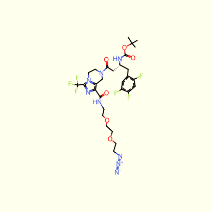 CC(C)(C)OC(=O)N[C@@H](CC(=O)N1CCn2c(C(F)(F)F)nc(C(=O)NCCOCCOCCN=[N+]=[N-])c2C1)Cc1cc(F)c(F)cc1F